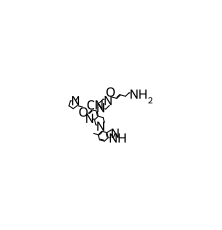 Cc1ccc2[nH]ncc2c1N1CCc2c(nc(OCC3CCCN3C)c(C#N)c2N2CCN(C(=O)C=CCCN)CC2)C1